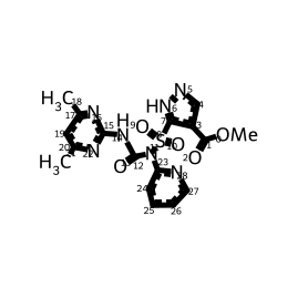 COC(=O)c1cn[nH]c1S(=O)(=O)N(C(=O)Nc1nc(C)cc(C)n1)c1ccccn1